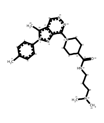 Cc1ccc(-n2nc3c(N4CCC(C(=O)NCCCN(C)C)CC4)nncc3c2C)cc1